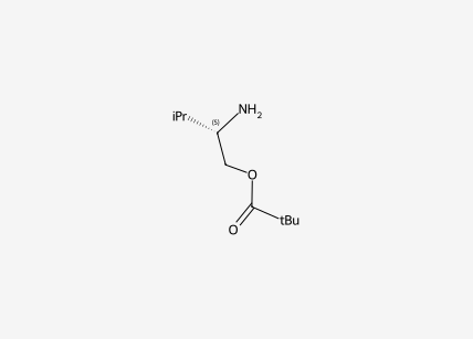 CC(C)[C@H](N)COC(=O)C(C)(C)C